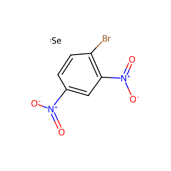 O=[N+]([O-])c1ccc(Br)c([N+](=O)[O-])c1.[Se]